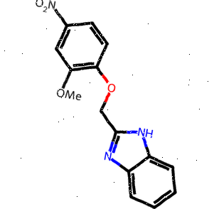 COc1cc([N+](=O)[O-])ccc1OCc1nc2ccccc2[nH]1